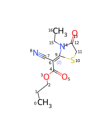 CCCOC(=O)/C(C#N)=C1\SCC(=O)N1CC